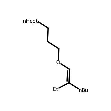 CCCCCCCCCCO/C=C(\CC)CCCC